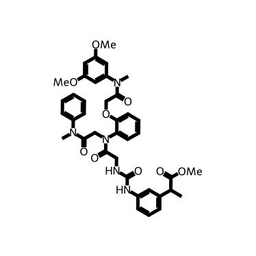 COC(=O)C(C)c1cccc(NC(=O)NCC(=O)N(CC(=O)N(C)c2ccccc2)c2ccccc2OCC(=O)N(C)c2cc(OC)cc(OC)c2)c1